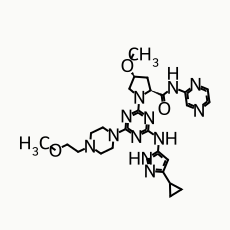 COCCN1CCN(c2nc(Nc3cc(C4CC4)n[nH]3)nc(N3C[C@@H](OC)C[C@H]3C(=O)Nc3cnccn3)n2)CC1